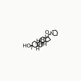 C[C@@]1(O)CC[C@H]2[C@H](CC[C@@H]3[C@@H]2CC[C@]2(C)[C@@H](C(=O)N4CCCCC4)CC[C@@H]32)C1